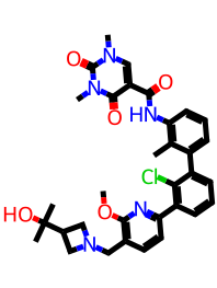 COc1nc(-c2cccc(-c3cccc(NC(=O)c4cn(C)c(=O)n(C)c4=O)c3C)c2Cl)ccc1CN1CC(C(C)(C)O)C1